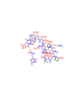 CC[C@H](C)[C@H](NC(=O)[C@H](CO)NC(=O)[C@H](Cc1ccc(O)cc1)NC(=O)[C@H](CC(=O)O)NC(=O)[C@H](CO)NC(=O)[C@@H](NC(=O)[C@H](Cc1ccccc1)NC(=O)[C@@H](NC(=O)CNC(=O)[C@H](CCC(=O)O)NC(=O)CSCC(=O)NCCn1ccc(=O)[nH]c1=O)[C@@H](C)O)[C@@H](C)O)C(=O)N[C@@H](Cc1ccc(O)cc1)C(=O)N[C@@H](CC(C)C)C(=O)N[C@@H](CC(=O)O)C(=O)N[C@H](C)CCCCN